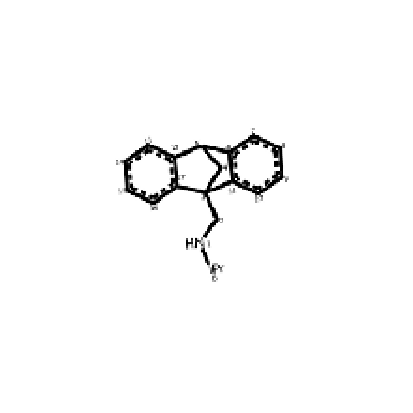 CC(C)NCC12CC(c3ccccc31)c1ccccc12